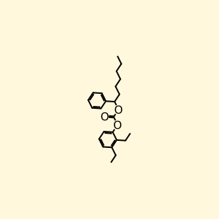 CCCCCCC(OC(=O)Oc1cccc(CC)c1CC)c1ccccc1